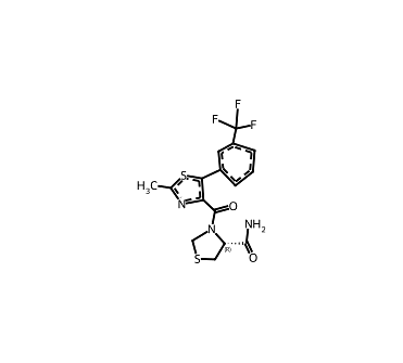 Cc1nc(C(=O)N2CSC[C@H]2C(N)=O)c(-c2cccc(C(F)(F)F)c2)s1